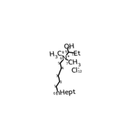 CCCCCCCCCCCC[N+](C)(C)C(O)CC.[Cl-]